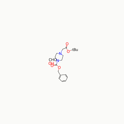 CC(C)(C)OC(=O)CN1CCN(C(=O)OCc2ccccc2)CC1.O=CO